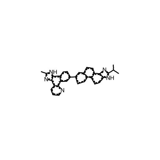 Cc1nc2c3cccnc3c3cc(-c4ccc5c(ccc6c5ccc5[nH]c(C(C)C)nc56)c4)ccc3c2[nH]1